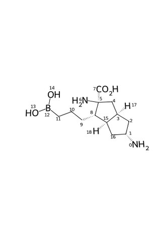 N[C@H]1C[C@@H]2C[C@@](N)(C(=O)O)[C@@H](CCCB(O)O)[C@@H]2C1